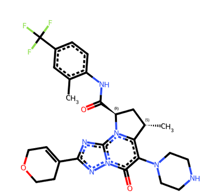 Cc1cc(C(F)(F)F)ccc1NC(=O)[C@H]1C[C@H](C)c2c(N3CCNCC3)c(=O)n3nc(C4=CCOCC4)nc3n21